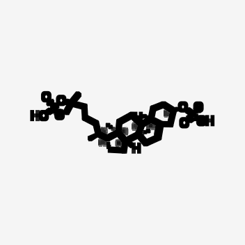 C[C@@H](CCCC(C)(C)OS(=O)(=O)O)[C@H]1CC[C@@H]2[C@]1(C)CC[C@H]1[C@@]2(C)CC=C2C[C@@H](OS(=O)(=O)O)CC[C@@]21C